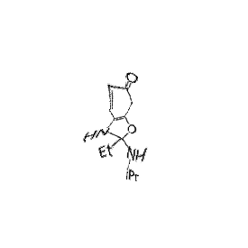 CCC1(NC(C)C)NC2=C(CC(=O)C=C2)O1